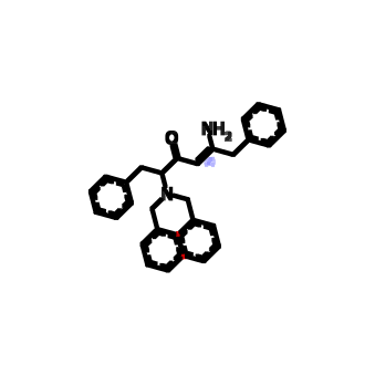 N/C(=C\C(=O)C(Cc1ccccc1)N(Cc1ccccc1)Cc1ccccc1)Cc1ccccc1